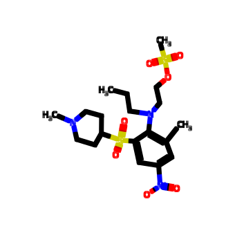 CCCN(CCOS(C)(=O)=O)c1c(C)cc([N+](=O)[O-])cc1S(=O)(=O)C1CCN(C)CC1